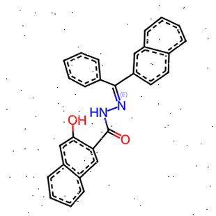 O=C(N/N=C(\c1ccccc1)c1ccc2ccccc2c1)c1cc2ccccc2cc1O